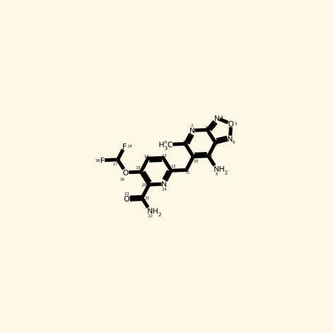 Cc1nc2nonc2c(N)c1Cc1ccc(OC(F)F)c(C(N)=O)n1